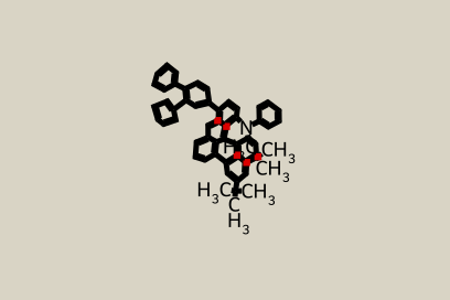 CC(C)(C)c1cc(-c2cccc3cccc(-c4ccccc4N(c4ccccc4)c4ccc(-c5ccc(-c6ccccc6)c(-c6ccccc6)c5)cc4)c23)cc(C(C)(C)C)c1